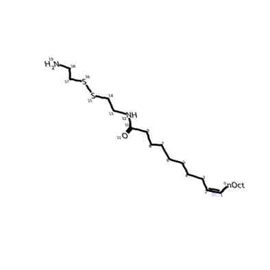 CCCCCCCC/C=C\CCCCCCCC(=O)NCCSSCCN